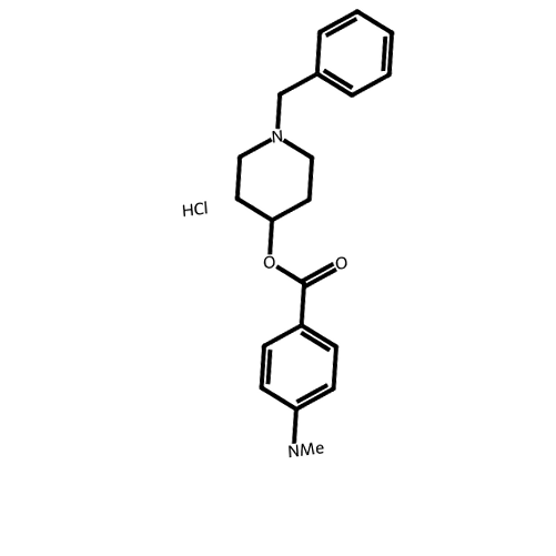 CNc1ccc(C(=O)OC2CCN(Cc3ccccc3)CC2)cc1.Cl